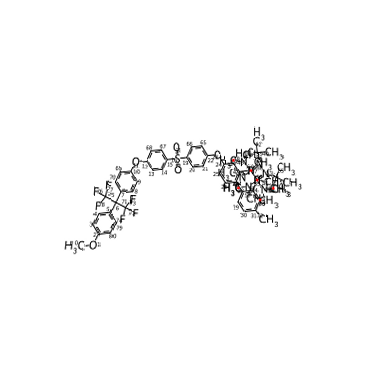 COc1ccc(C(c2ccc(Oc3ccc(S(=O)(=O)c4ccc(Oc5ccc(-c6ccc(C)cc6N(C)P(=NC(C)(C)C)(N(C)C)N(C)C)c(N(C)P(=NC(C)(C)C)(N(C)C)N(C)C)c5)cc4)cc3)cc2)(C(F)(F)F)C(F)(F)F)cc1